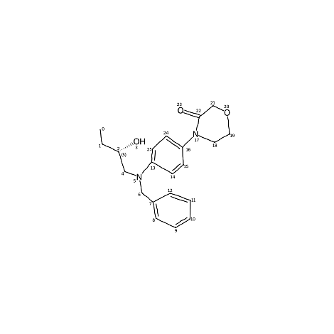 CC[C@H](O)CN(Cc1ccccc1)c1ccc(N2CCOCC2=O)cc1